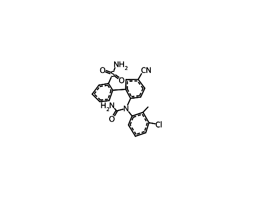 Cc1c(Cl)cccc1N(C(N)=O)c1ccc(C#N)cc1-c1ccccc1S(N)(=O)=O